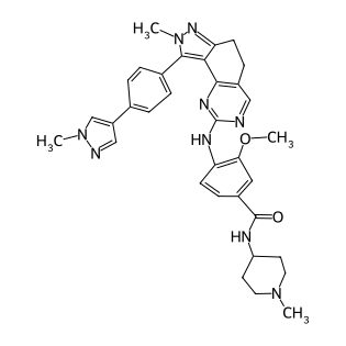 COc1cc(C(=O)NC2CCN(C)CC2)ccc1Nc1ncc2c(n1)-c1c(nn(C)c1-c1ccc(-c3cnn(C)c3)cc1)CC2